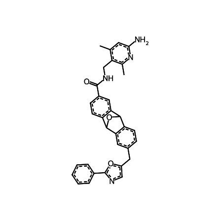 Cc1cc(N)nc(C)c1CNC(=O)c1ccc2c(c1)C1OC2c2cc(Cc3cnc(-c4ccccc4)o3)ccc21